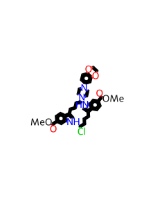 COC(=O)c1ccc2c(CCCCCl)c[nH]c2c1.COC(=O)c1ccc2c(CCCCN3CCN(c4ccc5c(c4)OCCO5)CC3)c[nH]c2c1